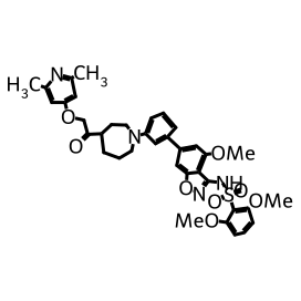 COc1cccc(OC)c1S(=O)(=O)Nc1noc2cc(-c3cccc(N4CCCC(C(=O)COc5cc(C)nc(C)c5)CC4)c3)cc(OC)c12